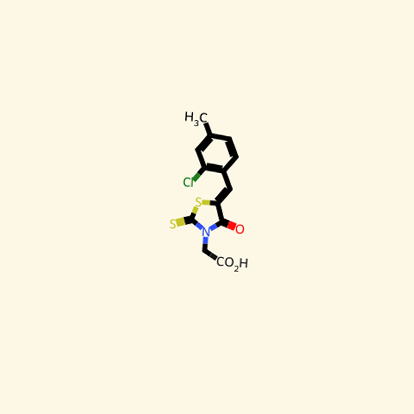 Cc1ccc(/C=C2\SC(=S)N(CC(=O)O)C2=O)c(Cl)c1